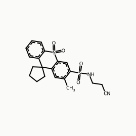 Cc1cc2c(cc1S(=O)(=O)NCCC#N)S(=O)(=O)c1ccccc1C21CCCC1